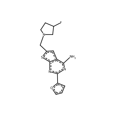 Nc1nc(-c2ccco2)nc2sc(CN3CCC(F)C3)cc12